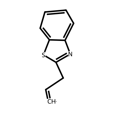 [CH]=CCc1nc2ccccc2s1